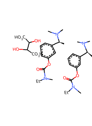 CCN(C)C(=O)Oc1cccc([C@H](C)N(C)C)c1.CCN(C)C(=O)Oc1cccc([C@H](C)N(C)C)c1.O=C(O)C(O)C(O)C(=O)O